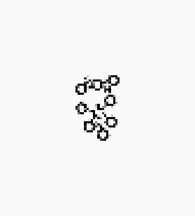 c1ccc(-c2nc(-c3cccc(-n4c5ccccc5c5cc6sc7ccccc7c6cc54)c3)nc3c2-c2ccccc2[Si]3(c2ccccc2)c2ccccc2)cc1